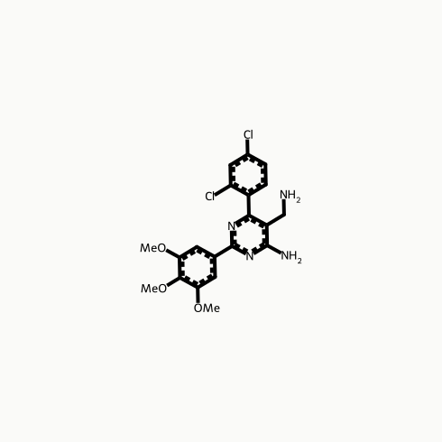 COc1cc(-c2nc(N)c(CN)c(-c3ccc(Cl)cc3Cl)n2)cc(OC)c1OC